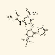 NC[C@@H](C=O)Nc1cc(C(N)=O)nc(Oc2ccc(C(F)(F)F)cc2-c2ccnnc2)n1